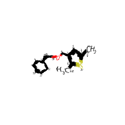 Cc1cc(COCc2ccccc2)c(C)s1